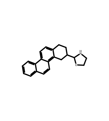 c1ccc2c(c1)ccc1c3c(ccc12)CCC(C1NCCO1)C3